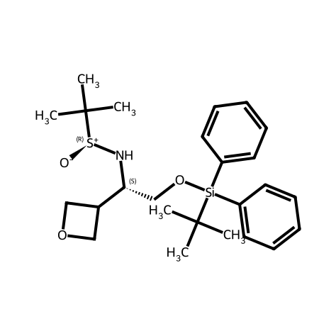 CC(C)(C)[S@+]([O-])N[C@H](CO[Si](c1ccccc1)(c1ccccc1)C(C)(C)C)C1COC1